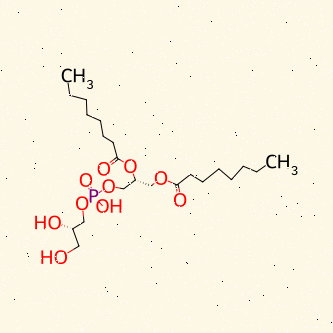 CCCCCCCC(=O)OC[C@H](COP(=O)(O)OC[C@@H](O)CO)OC(=O)CCCCCCC